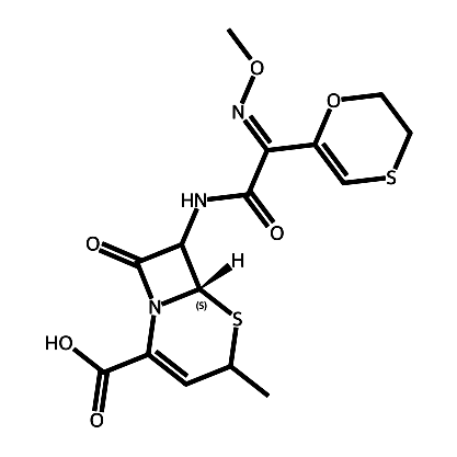 CON=C(C(=O)NC1C(=O)N2C(C(=O)O)=CC(C)S[C@@H]12)C1=CSCCO1